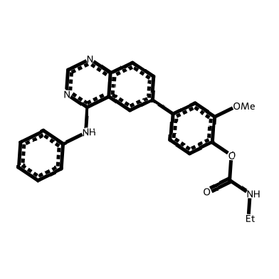 CCNC(=O)Oc1ccc(-c2ccc3ncnc(Nc4ccccc4)c3c2)cc1OC